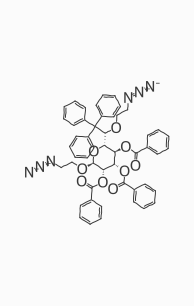 [N-]=[N+]=NCCOC([C@H]1O[C@H](OCCN=[N+]=[N-])[C@@H](OC(=O)c2ccccc2)[C@@H](OC(=O)c2ccccc2)[C@@H]1OC(=O)c1ccccc1)C(c1ccccc1)(c1ccccc1)c1ccccc1